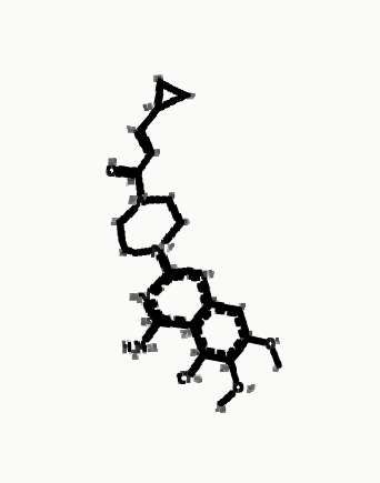 COc1cc2nc(N3CCN(C(=O)C=CC4CC4)CC3)nc(N)c2c(Cl)c1OC